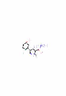 CCc1ncc(-c2cc(O)ccc2F)cc1C(=O)NN